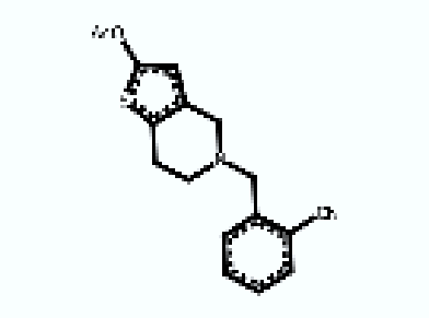 CC(=O)Oc1cc2c(s1)CCN(Cc1ccccc1C#N)C2